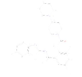 Cc1ccc2nc(NC(=O)c3cc(Cl)cc(C)c3OC(=O)N3CCC(N4CCCCC4)CC3)sc2c1